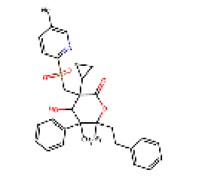 CCCC1(CCc2ccccc2)OC(=O)C(CS(=O)(=O)c2ccc(C#N)cn2)(C2CC2)C(O)C1(C)c1ccccc1